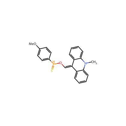 COc1ccc([PH](=S)OC=C2c3ccccc3N(C)c3ccccc32)cc1